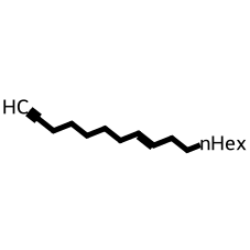 C#CCCCCCC=CCCCCCCCC